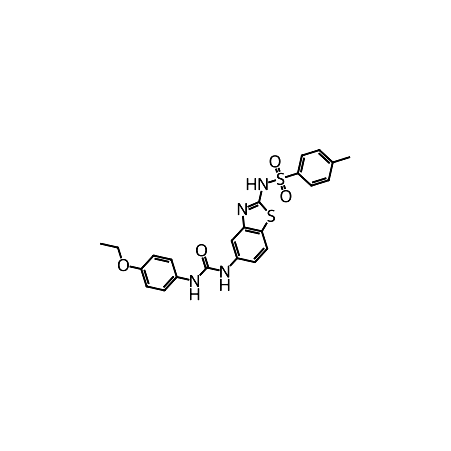 CCOc1ccc(NC(=O)Nc2ccc3sc(NS(=O)(=O)c4ccc(C)cc4)nc3c2)cc1